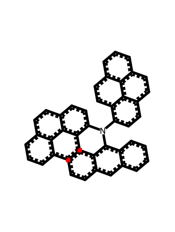 c1ccc2c(N(c3ccc4ccc5cccc6ccc3c4c56)c3ccc4ccc5cccc6ccc3c4c56)c3ccccc3cc2c1